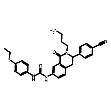 CCSc1ccc(NC(=O)Nc2ccc3c(c2)C(=O)N(CCCN)C(c2ccc(C#N)cc2)C3)cc1